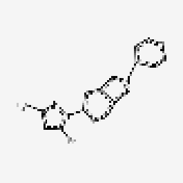 Nc1cc(Br)n(-c2ccc3nn(-c4ccncc4)cc3c2)n1